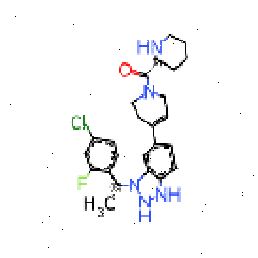 C[C@H](c1ccc(Cl)cc1F)N1NNc2ccc(C3=CCN(C(=O)[C@H]4CCCCN4)CC3)cc21